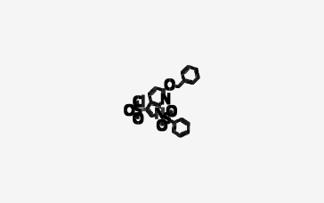 O=S(=O)(Cl)c1cn(S(=O)(=O)c2ccccc2)c2nc(OCc3ccccc3)ccc12